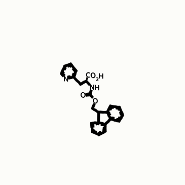 O=C(N[C@@H](Cc1ccccn1)C(=O)O)OCC1c2ccccc2-c2ccccc21